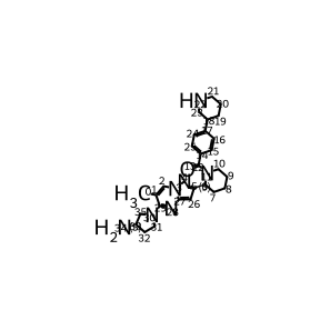 Cc1cn2nc([C@@H]3CCCCN3C(=O)c3ccc(C4CCCNC4)cc3)cc2nc1N1CC[C@H](N)C1